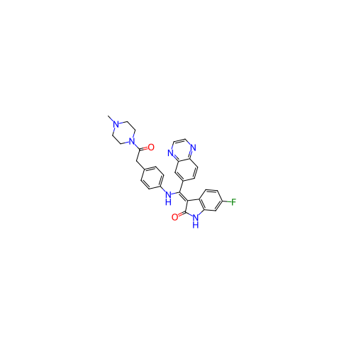 CN1CCN(C(=O)Cc2ccc(N/C(=C3\C(=O)Nc4cc(F)ccc43)c3ccc4nccnc4c3)cc2)CC1